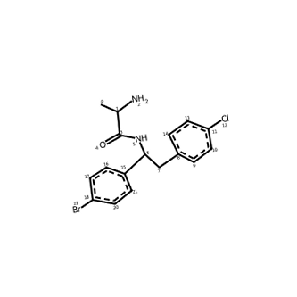 CC(N)C(=O)NC(Cc1ccc(Cl)cc1)c1ccc(Br)cc1